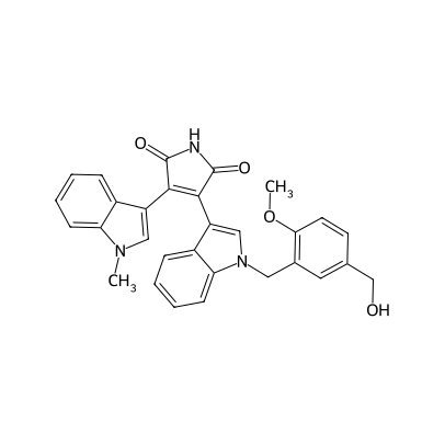 COc1ccc(CO)cc1Cn1cc(C2=C(c3cn(C)c4ccccc34)C(=O)NC2=O)c2ccccc21